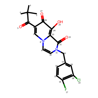 CC(C)(C)C(=O)c1cn2ccn(Cc3ccc(F)c(Cl)c3)c(=O)c2c(O)c1=O